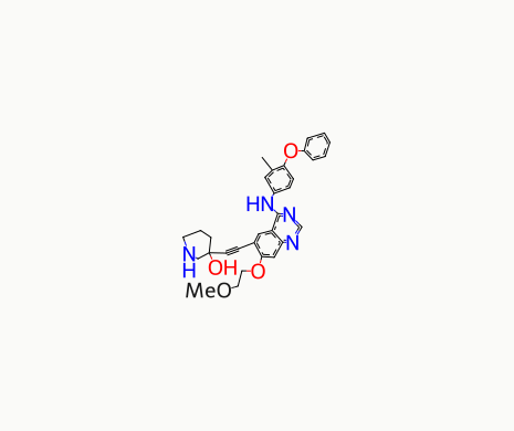 COCCOc1cc2ncnc(Nc3ccc(Oc4ccccc4)c(C)c3)c2cc1C#CC1(O)CCCNC1